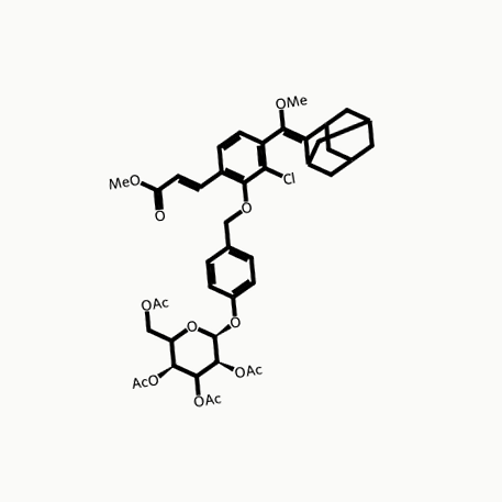 COC(=O)/C=C/c1ccc(C(OC)=C2C3CC4CC(C3)CC2C4)c(Cl)c1OCc1ccc(O[C@@H]2OC(COC(C)=O)[C@H](OC(C)=O)C(OC(C)=O)[C@@H]2OC(C)=O)cc1